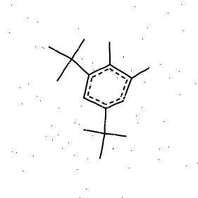 Cc1cc(C(C)(C)C)cc(C(C)(C)C)c1C